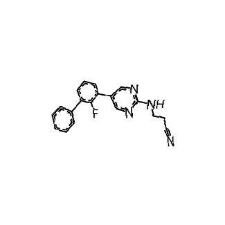 N#CCCNc1ncc(-c2cccc(-c3ccccc3)c2F)cn1